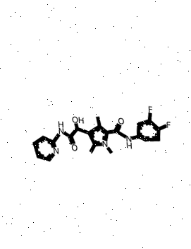 Cc1c(C(O)C(=O)Nc2ccccn2)c(C)n(C)c1C(=O)Nc1ccc(F)c(F)c1